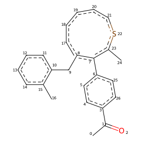 CC(=O)c1ccc(-c2c(Cc3ccccc3C)cccccsc2C)cc1